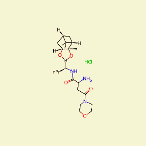 CCC[C@H](NC(=O)C(N)CC(=O)N1CCOCC1)B1O[C@@H]2C[C@@H]3C[C@@H](C3(C)C)[C@]2(C)O1.Cl